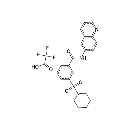 O=C(Nc1ccc2ncccc2c1)c1cccc(S(=O)(=O)N2CCCCC2)c1.O=C(O)C(F)(F)F